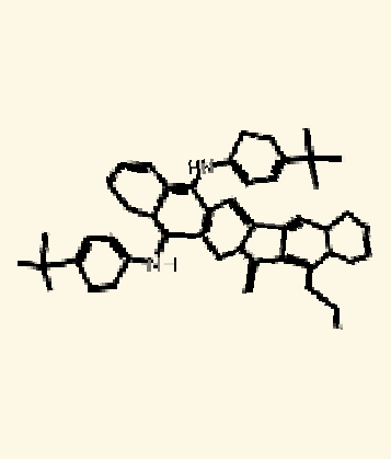 C=C1C2=C(CCC)C3CCCCC3C=C2C2=CC3=C(CC12)C(NC1=CC=C(C(C)(C)C)CC1)C1CCC=CC1=C3NC1=CC=C(C(C)(C)C)CC1